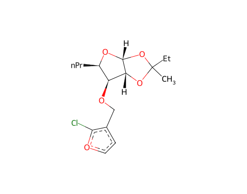 CCC[C@H]1O[C@@H]2OC(C)(CC)O[C@@H]2[C@H]1OCc1ccoc1Cl